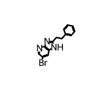 Brc1cnc2nc(CCc3ccccc3)[nH]c2c1